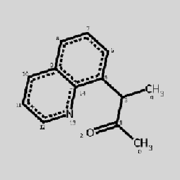 CC(=O)C(C)c1cccc2cccnc12